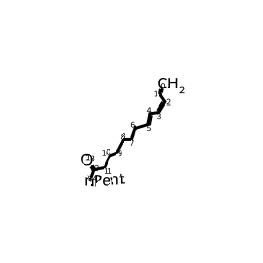 C=C/C=C\C=CCCCCCCC(=O)CCCCC